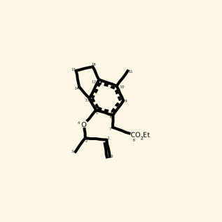 C=CC(C)Oc1c(CC(=O)OCC)cc(C)c2c1CCC2